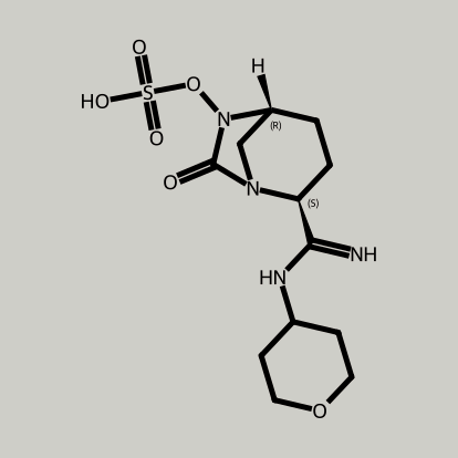 N=C(NC1CCOCC1)[C@@H]1CC[C@@H]2CN1C(=O)N2OS(=O)(=O)O